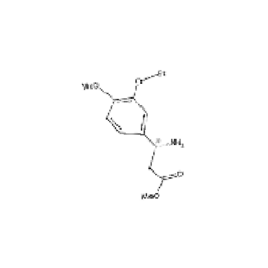 CCOc1cc([C@H](N)CC(=O)OC)ccc1OC